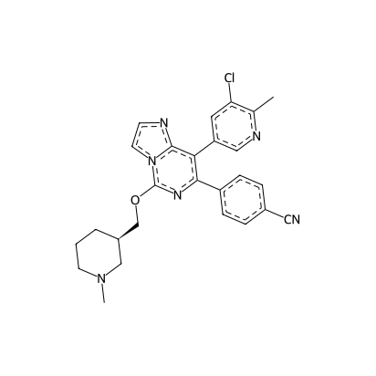 Cc1ncc(-c2c(-c3ccc(C#N)cc3)nc(OC[C@@H]3CCCN(C)C3)n3ccnc23)cc1Cl